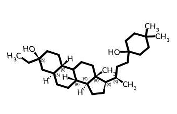 CC[C@]1(O)CC[C@@H]2C3CC[C@]4(C)[C@@H]([C@H](C)CCC5(O)CCC(C)(C)CC5)CC[C@H]4[C@@H]3CC[C@H]2C1